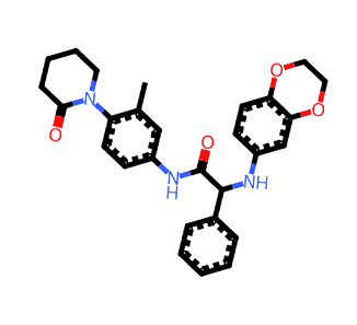 Cc1cc(NC(=O)C(Nc2ccc3c(c2)OCCO3)c2ccccc2)ccc1N1CCCCC1=O